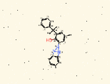 Cc1cc(-n2n3c4ccccc4n23)c(O)c(C(C)(C)c2ccccc2)c1